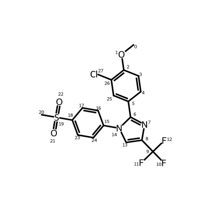 COc1ccc(-c2nc(C(F)(F)F)cn2-c2ccc(S(C)(=O)=O)cc2)cc1Cl